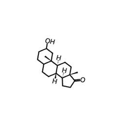 C[C@]12CC(O)CCC1CC[C@@H]1[C@@H]2CC[C@]2(C)C(=O)CC[C@@H]12